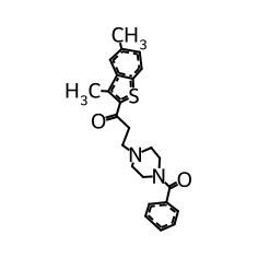 Cc1ccc2sc(C(=O)CCN3CCN(C(=O)c4ccccc4)CC3)c(C)c2c1